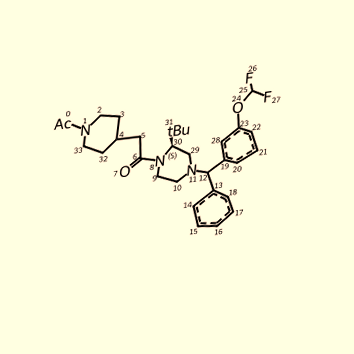 CC(=O)N1CCC(CC(=O)N2CCN(C(c3ccccc3)c3cccc(OC(F)F)c3)C[C@@H]2C(C)(C)C)CC1